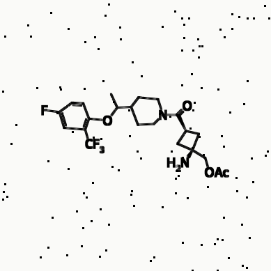 CC(=O)OC[C@]1(N)C[C@@H](C(=O)N2CCC(C(C)Oc3ccc(F)cc3C(F)(F)F)CC2)C1